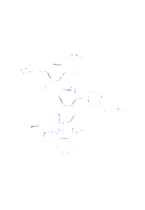 C=CC(=O)N[C@H]1COC[C@H]1Nc1cc2c(N3CCC(OC)C3)nc(-c3c(Cl)c(OC)cc(OC)c3Cl)cc2cn1